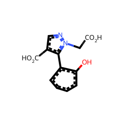 O=C(O)Cn1ncc(C(=O)O)c1-c1ccccc1O